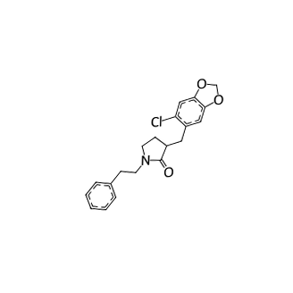 O=C1C(Cc2cc3c(cc2Cl)OCO3)CCN1CCc1ccccc1